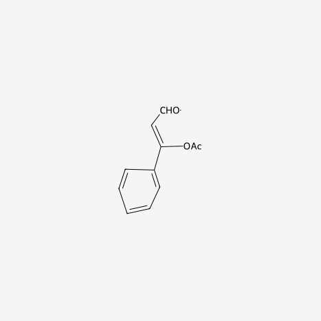 CC(=O)OC(=C[C]=O)c1ccccc1